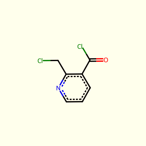 O=C(Cl)c1cccnc1CCl